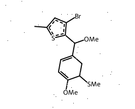 COC1=CC=C(C(OC)c2sc(C)cc2Br)CC1SC